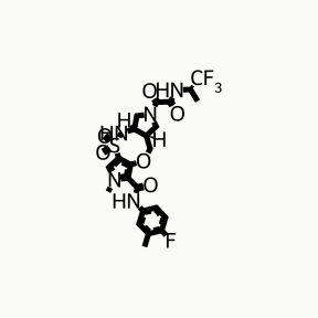 Cc1cc(NC(=O)c2c3c(cn2C)S(=O)(=O)N[C@@H]2CN(C(=O)C(=O)N[C@H](C)C(F)(F)F)C[C@H]2CO3)ccc1F